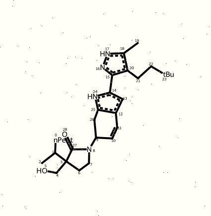 CCCCCC(C)C1(CO)CCN(C2C=Cc3cc(-c4n[nH]c(C)c4CCC(C)(C)C)[nH]c3C2)C1=O